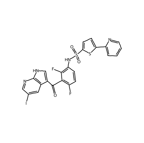 O=C(c1c(F)ccc(NS(=O)(=O)c2ccc(-c3ccccn3)s2)c1F)c1c[nH]c2ncc(I)cc12